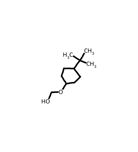 CC(C)(C)C1CCC(OCO)CC1